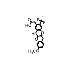 COc1ccc(C[C@@H]2Oc3cc(C(F)(F)F)c(CC(=O)O)cc3NC2=O)cc1